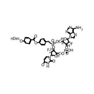 CCCCCCCCCCOc1ccc(C(=O)Oc2ccc(CSP3(=O)OC[C@H]4O[C@@H](n5cnc6c(N)ncnc65)[C@H](F)[C@@H]4OP(=O)(O)OC[C@H]4O[C@@H](n5ccc(=O)[nH]c5=O)[C@H](F)[C@@H]4O3)cc2)cc1